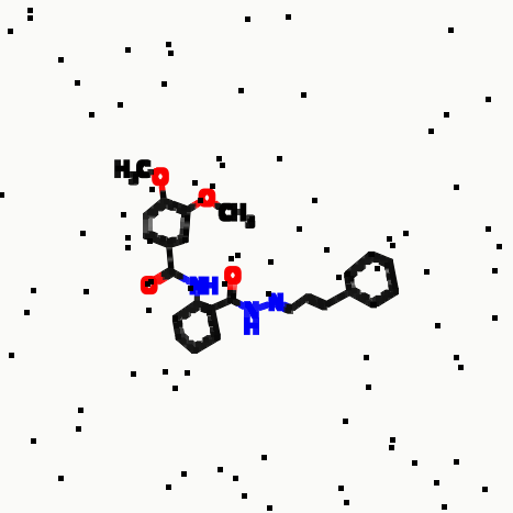 COc1ccc(C(=O)Nc2ccccc2C(=O)NN=CC=Cc2ccccc2)cc1OC